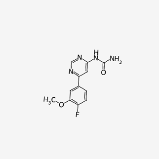 COc1cc(-c2cc(NC(N)=O)ncn2)ccc1F